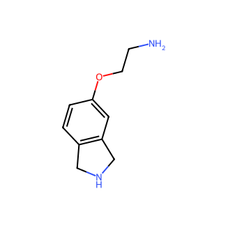 NCCOc1ccc2c(c1)CNC2